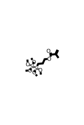 C=C(C)C(=O)OCCC[Si](OC)(OC)[Si](OC)(OC)OC